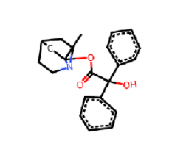 CC1(OC(=O)C(O)(c2ccccc2)c2ccccc2)CC2CCN1CC2